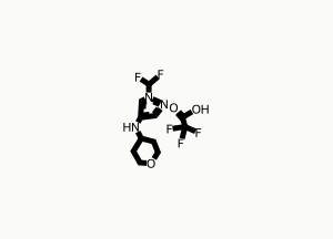 FC(F)n1cc(NC2CCOCC2)cn1.O=C(O)C(F)(F)F